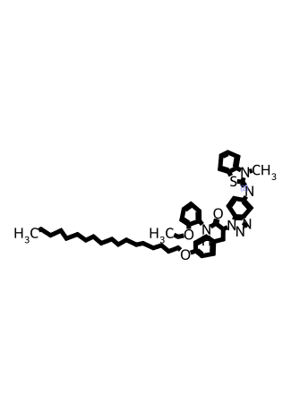 CCCCCCCCCCCCCCCCCCOc1ccc(CC(C(=O)Nc2ccccc2OCC)n2nnc3cc(/N=c4\sc5ccccc5n4C)ccc32)cc1